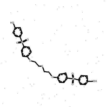 O=S(=O)(c1ccc(O)cc1)c1ccc(OCCSCCOc2ccc(S(=O)(=O)c3ccc(O)cc3)cc2)cc1